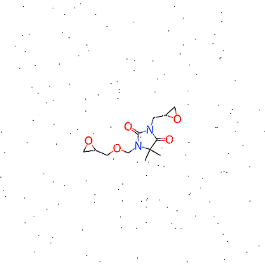 CC1(C)C(=O)N(CC2CO2)C(=O)N1COCC1CO1